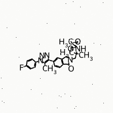 Cc1c(-c2ccc3c(c2)CN(CC(C)(C)NS(C)(=O)=O)C3=O)nnn1-c1ccc(F)cc1